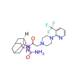 NC(=O)OC12CC3CC(C1)C(NC(=O)CN1CCN(c4ncccc4C(F)(F)F)CC1)[C@@H](C3)C2